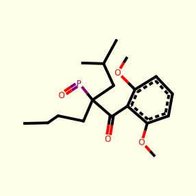 CCCCC(CC(C)C)(P=O)C(=O)c1c(OC)cccc1OC